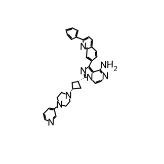 Nc1nccn2c1c(-c1ccc3ccc(-c4ccccc4)nc3c1)nc2[C@H]1C[C@@H](N2CCN(c3cccnc3)CC2)C1